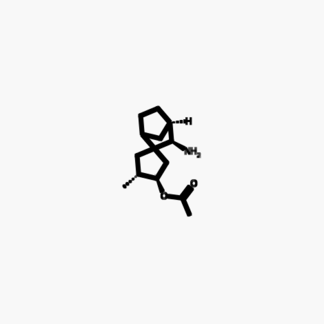 CC(=O)O[C@@H]1CC2(C[C@H]1C)C1CC[C@H](C1)[C@H]2N